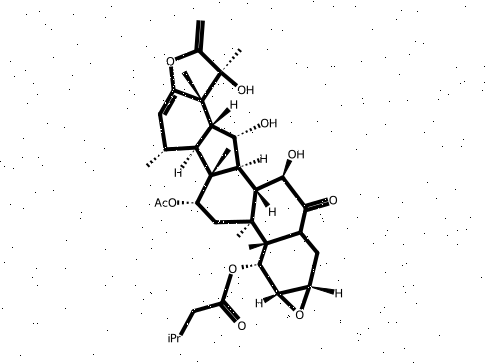 C=C1OC2=C[C@@H](C)[C@H]3[C@@H]([C@H](O)[C@H]4[C@@H]5[C@@H](O)C(=O)C6C[C@@H]7O[C@@H]7[C@H](OC(=O)CC(C)C)[C@]6(C)[C@@]5(C)C[C@H](OC(C)=O)[C@]34C)[C@@]2(C)[C@]1(C)O